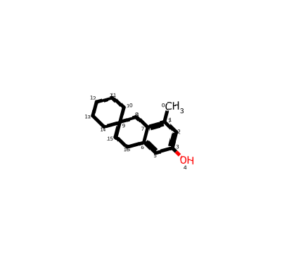 Cc1cc(O)cc2c1CC1(CCCCC1)CC2